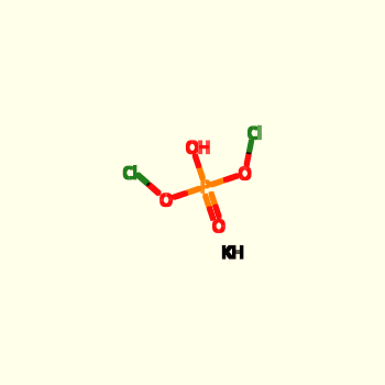 O=P(O)(OCl)OCl.[KH]